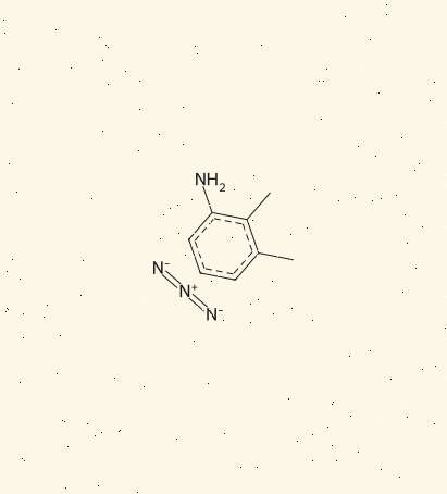 Cc1cccc(N)c1C.[N-]=[N+]=[N-]